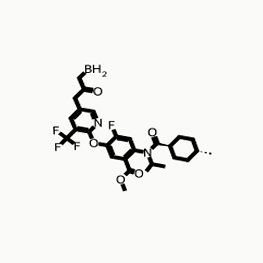 BCC(=O)Cc1cnc(Oc2cc(C(=O)OC)c(N(C(=O)[C@H]3CC[C@H](C)CC3)C(C)C)cc2F)c(C(F)(F)F)c1